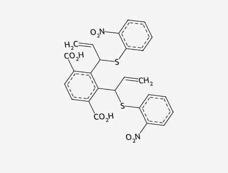 C=CC(Sc1ccccc1[N+](=O)[O-])c1c(C(=O)O)ccc(C(=O)O)c1C(C=C)Sc1ccccc1[N+](=O)[O-]